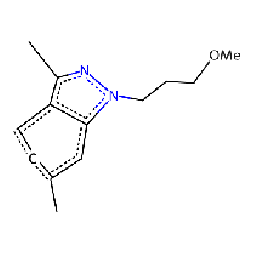 COCCCn1nc(C)c2ccc(C)cc21